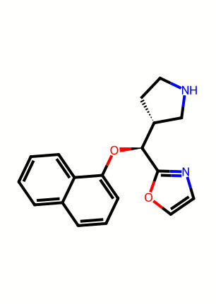 c1ccc2c(O[C@H](c3ncco3)[C@@H]3CCNC3)cccc2c1